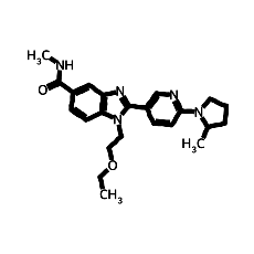 CCOCCn1c(-c2ccc(N3CCCC3C)nc2)nc2cc(C(=O)NC)ccc21